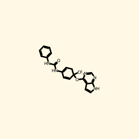 O=C(NC1=CCC(Oc2ncnc3[nH]ccc23)(C(F)(F)F)C=C1)Nc1ccccc1